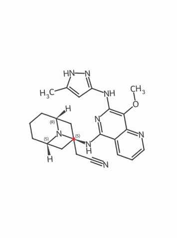 COc1c(Nc2cc(C)[nH]n2)nc(N[C@@H]2C[C@H]3CCC[C@@H](C2)N3CCC#N)c2cccnc12